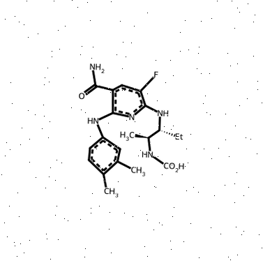 CC[C@@H](Nc1nc(Nc2ccc(C)c(C)c2)c(C(N)=O)cc1F)[C@H](C)NC(=O)O